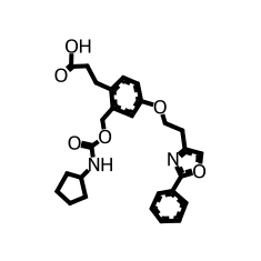 O=C(O)CCc1ccc(OCCc2coc(-c3ccccc3)n2)cc1COC(=O)NC1CCCC1